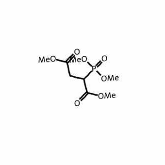 COC(=O)CC(C(=O)OC)P(=O)(OC)OC